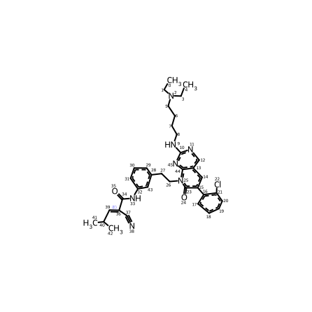 CCN(CC)CCCCNc1ncc2cc(-c3ccccc3Cl)c(=O)n(CCc3cccc(NC(=O)/C(C#N)=C/C(C)C)c3)c2n1